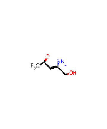 NC(=CC(=O)C(F)(F)F)CO